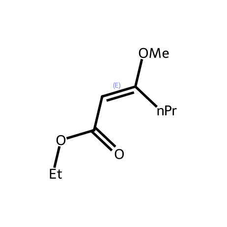 CCC/C(=C\C(=O)OCC)OC